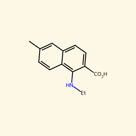 CCNc1c(C(=O)O)ccc2cc(C)ccc12